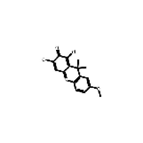 COc1ccc2c(c1)C(C)(C)C1=C(Cl)C(=O)C(Cl)=CC1=N2